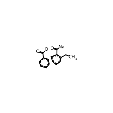 CCc1ccccc1[C](=O)[Na].O=C(O)c1ccccc1